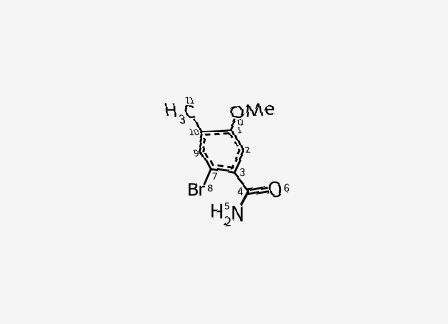 COc1cc(C(N)=O)c(Br)cc1C